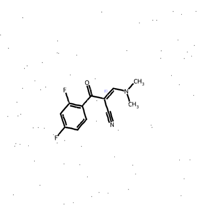 CN(C)/C=C(\C#N)C(=O)c1ccc(F)cc1F